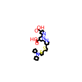 O=C(O)c1ccnc(-c2cc(C(=O)O)cc(-c3cc(-c4ccc(-c5ccc(N(c6ccccc6)c6ccccc6)s5)s4)ccn3)n2)c1